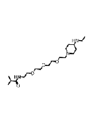 CCNC1CCN(CCOCCOCCOCCNC(=O)C(C)C)CC1